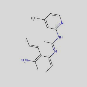 C/C=C/C(C(=C\C)/N=C(\C)Nc1cc(C(F)(F)F)ccn1)=C(/C)N